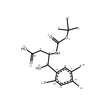 CC(C)(C)OC(=O)NC(CC(=O)O)C(O)c1cc(F)c(F)cc1F